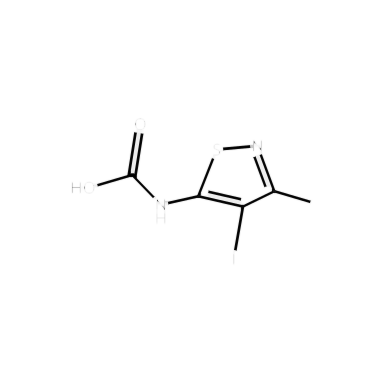 Cc1nsc(NC(=O)O)c1I